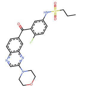 CCCS(=O)(=O)Nc1ccc(F)c(C(=O)c2ccc3ncc(N4CCOCC4)nc3c2)c1